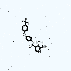 Nc1nccc(C(=O)Nc2ccc(Oc3ccc(C(F)(F)F)cc3)cc2)c1O